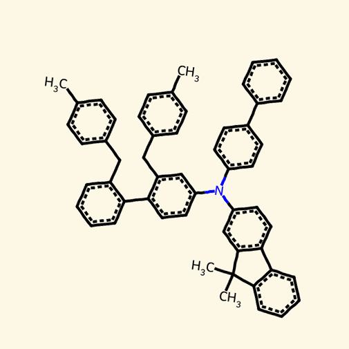 Cc1ccc(Cc2ccccc2-c2ccc(N(c3ccc(-c4ccccc4)cc3)c3ccc4c(c3)C(C)(C)c3ccccc3-4)cc2Cc2ccc(C)cc2)cc1